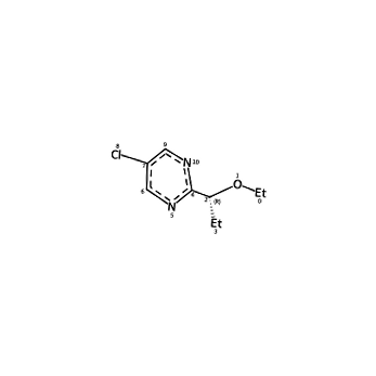 CCO[C@H](CC)c1ncc(Cl)cn1